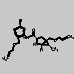 C=CCOCc1ccc(Br)nc1NC(=O)[C@@H]1C[C@]2(COCC=C)[C@H](C)[C@@H]2N1